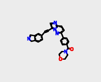 O=C(c1ccc(-c2ccc3ncc(C#Cc4ccc5c(c4)C=NC5)n3n2)cc1)N1CCOCC1